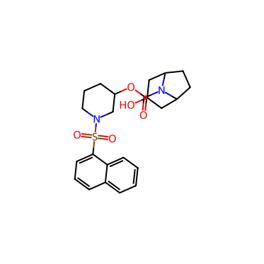 O=C(OC1CCCN(S(=O)(=O)c2cccc3ccccc23)C1)N1C2CCC1CC(O)C2